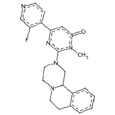 Cn1c(N2CCN3CCc4ccccc4C3C2)nc(-c2ccncc2F)cc1=O